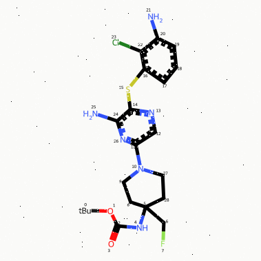 CC(C)(C)OC(=O)NC1(CF)CCN(c2cnc(Sc3cccc(N)c3Cl)c(N)n2)CC1